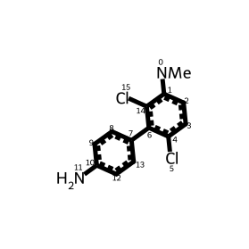 CNc1ccc(Cl)c(-c2ccc(N)cc2)c1Cl